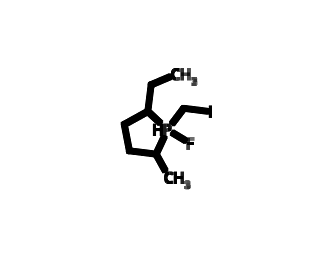 CCC1CCC(C)[PH]1(F)CI